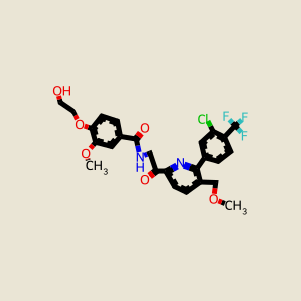 COCc1ccc(C(=O)CNC(=O)c2ccc(OCCO)c(OC)c2)nc1-c1ccc(C(F)(F)F)c(Cl)c1